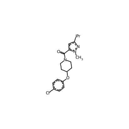 CC(C)c1cc(C(=O)N2CCC(Oc3ccc(Cl)cc3)CC2)n(C)n1